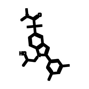 Cc1cc(C)cc(-c2cc3cc(C(C)(C)C(=O)N(C)C)ccc3n2CC(C)O)c1